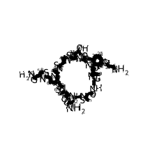 Cc1sc2nc1C(=O)NCc1nc(cs1)C(=O)N[C@@H](Cc1ccc(OCCN)cc1)C(=O)N1C[C@H](O)[C@H](C)[C@H]1c1nc(cs1)-c1nc(cs1)-c1nc(-c3nc(C(N)=O)cs3)ccc1-c1nc(cs1)C(=O)N[C@H]2CC(N)=O